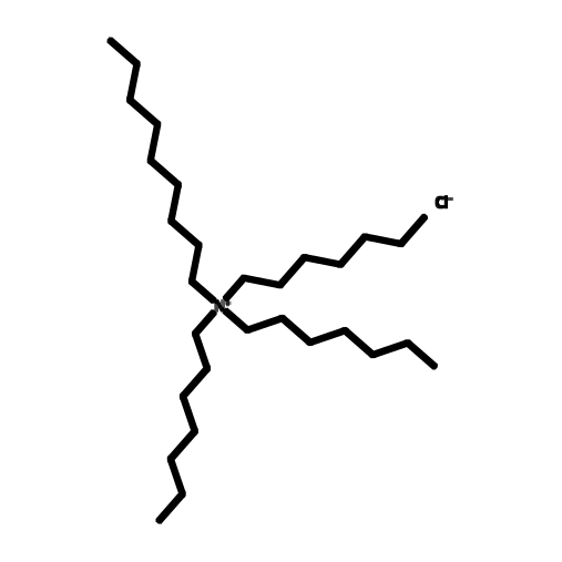 CCCCCCCCC[N+](CCCCCCC)(CCCCCCC)CCCCCCC.[Cl-]